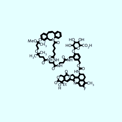 CCC1(O)C(=O)OCc2c1cc1n(c2=O)Cc2c-1nc1cc(F)c(C)c3c1c2C(NC(=O)OCc1ccc(OC2OC(C(=O)O)C(O)C(O)C2O)c(CNC(=O)CCNC(=O)C(CNC(=O)CCC(C)(C)OCCC(C)(C)OC)NC(=O)CCCCC(=O)N2Cc4ccccc4/C=C\c4ccccc42)c1)CC3